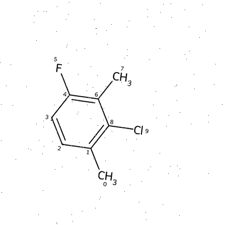 Cc1c[c]c(F)c(C)c1Cl